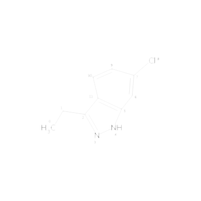 CCc1n[nH]c2cc(Cl)ccc12